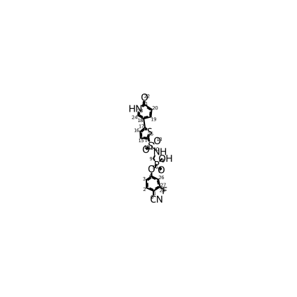 N#Cc1ccc(OP(=O)(O)CNS(=O)(=O)c2ccc(-c3ccc(=O)[nH]c3)s2)cc1F